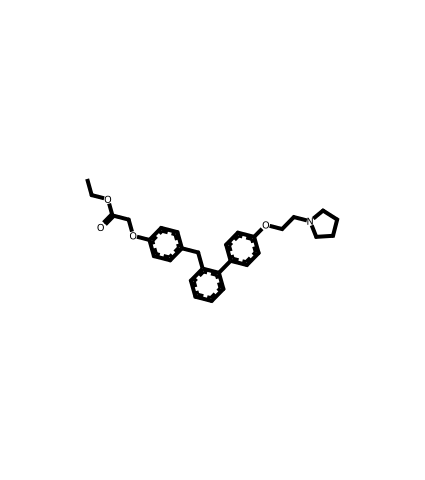 CCOC(=O)COc1ccc(Cc2ccccc2-c2ccc(OCCN3CCCC3)cc2)cc1